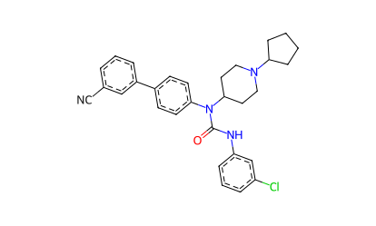 N#Cc1cccc(-c2ccc(N(C(=O)Nc3cccc(Cl)c3)C3CCN(C4CCCC4)CC3)cc2)c1